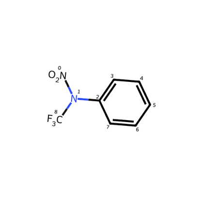 O=[N+]([O-])N(c1ccccc1)C(F)(F)F